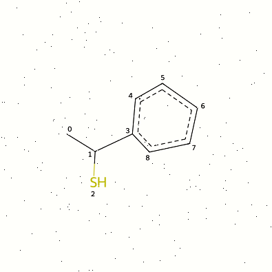 CC(S)c1[c]cccc1